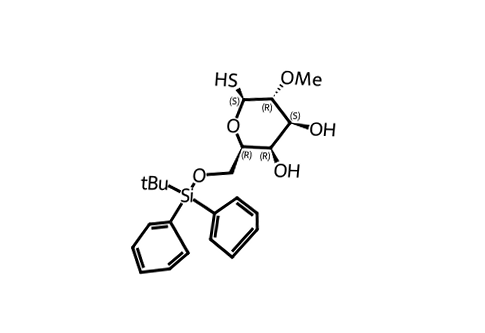 CO[C@@H]1[C@@H](O)[C@@H](O)[C@@H](CO[Si](c2ccccc2)(c2ccccc2)C(C)(C)C)O[C@H]1S